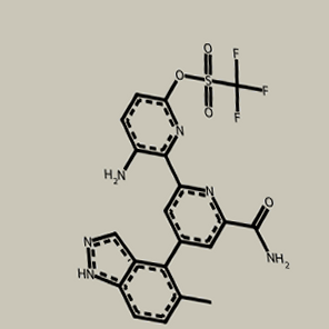 Cc1ccc2[nH]ncc2c1-c1cc(C(N)=O)nc(-c2nc(OS(=O)(=O)C(F)(F)F)ccc2N)c1